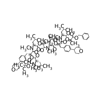 CC(C)C[C@@H](C(=O)O[C@H](Cc1ccc(C2CCOCC2)cc1)C(=O)N(C)[C@@H](CC(C)C)C(=O)O[C@H](C)C(=O)N(C)[C@@H](CC(C)C)C(=O)O[C@H](Cc1ccc(C2CCOCC2)cc1)C(=O)N(C)[C@@H](CC(C)C)C(=O)O[C@H](C)C(=O)OCc1ccccc1)N(C)C(=O)OC(C)(C)C